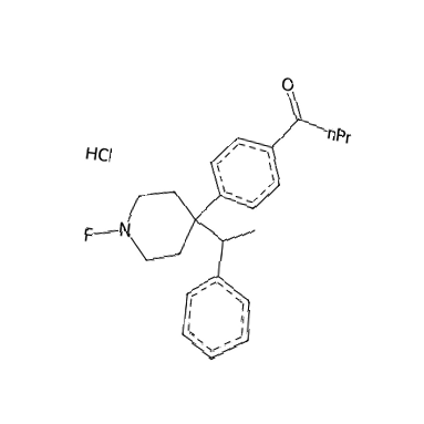 CCCC(=O)c1ccc(C2(C(C)c3ccccc3)CCN(F)CC2)cc1.Cl